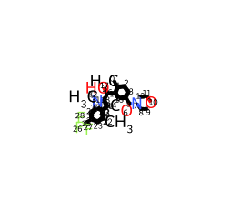 Cc1ccc(C(=O)N2CCOCC2)c(C)c1C(O)c1cc2c(C)cc(C(F)(F)F)cc2n1C